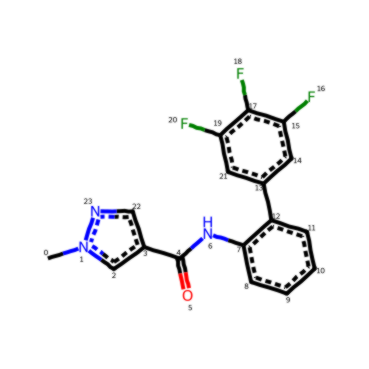 Cn1cc(C(=O)Nc2ccccc2-c2cc(F)c(F)c(F)c2)cn1